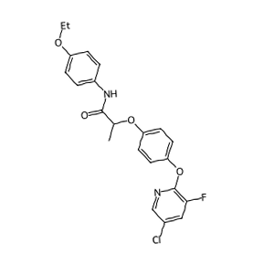 CCOc1ccc(NC(=O)C(C)Oc2ccc(Oc3ncc(Cl)cc3F)cc2)cc1